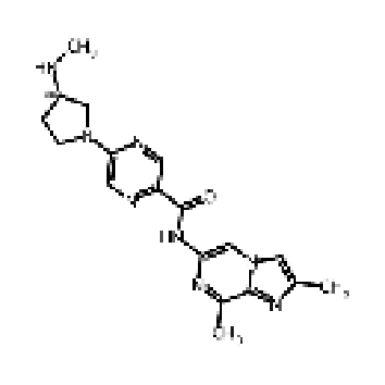 CN[C@@H]1CCN(c2cnc(C(=O)Nc3cn4cc(C)nc4c(C)n3)cn2)C1